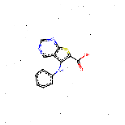 O=C(O)c1sc2ncncc2c1Nc1ccccc1